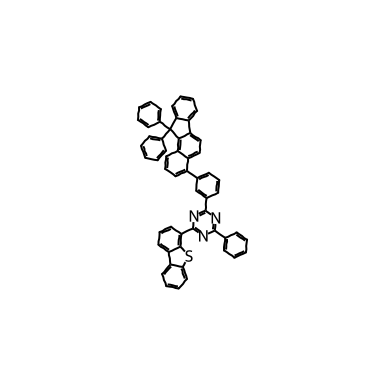 c1ccc(-c2nc(-c3cccc(-c4cccc5c6c(ccc45)-c4ccccc4C6(c4ccccc4)c4ccccc4)c3)nc(-c3cccc4c3sc3ccccc34)n2)cc1